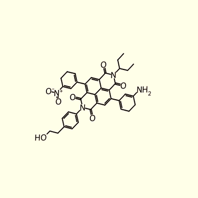 CCC(CC)N1C(=O)c2cc(C3=CCCC([N+](=O)[O-])=C3)c3c4c(cc(C5=CCCC(N)=C5)c(c24)C1=O)C(=O)N(c1ccc(CCO)cc1)C3=O